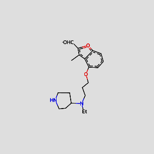 CCN(CCCOc1cccc2oc([C]=O)c(C)c12)C1CCNCC1